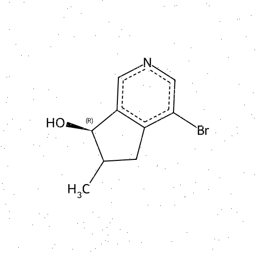 CC1Cc2c(Br)cncc2[C@@H]1O